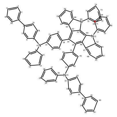 c1ccc(-c2ccc(N(c3ccccc3)c3ccc(-c4c(-c5ccc(N(c6ccccc6)c6ccc(-c7ccccc7)cc6)cc5)c5c6ccccc6n(-c6ccccc6)c5c5c4c4ccccc4n5-c4ccccc4)cc3)cc2)cc1